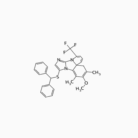 COC1=C(C)CC23C=CC=C(C(F)(F)F)N2c2ncc(SC(c4ccccc4)c4ccccc4)n2C3=C1C